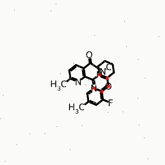 Cc1cnc(OC2CC3CCC2N(C(=O)c2ccc(C)nc2-c2ncccn2)C3)c(F)c1